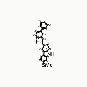 CSc1ccc2c3c([nH]c2c1)CCC(CCC1CC(c2ccccc2)=CCN1)C3